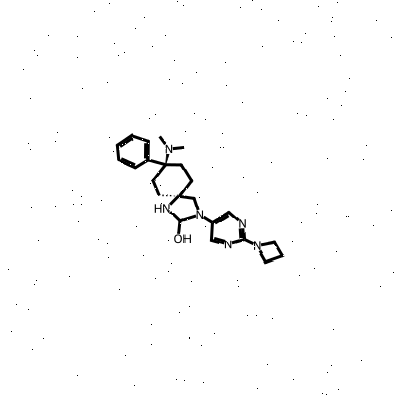 CN(C)[C@]1(c2ccccc2)CC[C@]2(CC1)CN(c1cnc(N3CCC3)nc1)C(O)N2